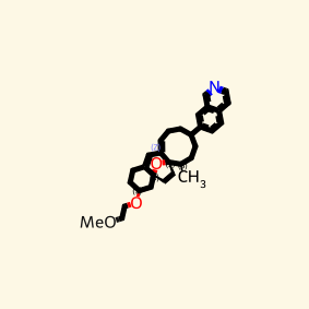 COCCO[C@H]1CCC2=C/C3=C/CCC(c4ccc5ccncc5c4)CC[C@H](C)[C@@]34CC[C@]2(C1)O4